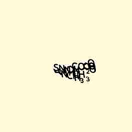 CC1C(C)C(NCCc2ccc3c(c2)OCCO3)(C(=O)O)CCN1c1ncc2ccsc2n1